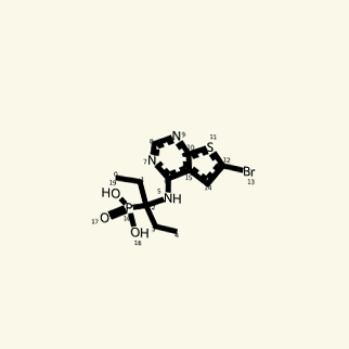 CCC(CC)(Nc1ncnc2sc(Br)cc12)P(=O)(O)O